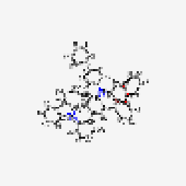 c1ccc(-c2ccc(N(c3ccccc3)c3ccc(-c4ccccc4-n4c5ccccc5c5ccccc54)cc3-c3cccc(-c4ccccc4)c3)cc2)cc1